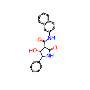 O=C(Nc1ccc2ccccc2c1)C1C(=O)NC(c2ccccc2)C1O